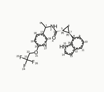 CC(NC(=O)[C@@H]1C[C@H]1c1cccc2cc[nH]c12)c1ccc(OCC(F)(F)F)nc1